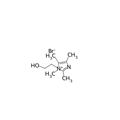 CC1=NC(C)=C(C)[N+]1(C)CCO.[Br-]